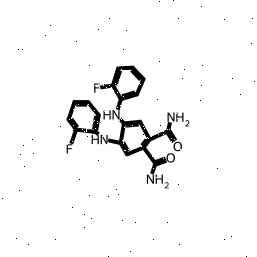 NC(=O)c1cc(Nc2ccccc2F)c(Nc2ccccc2F)cc1C(N)=O